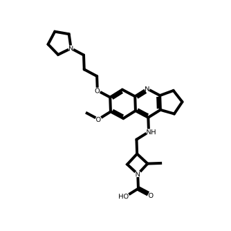 COc1cc2c(NCC3CN(C(=O)O)C3C)c3c(nc2cc1OCCCN1CCCC1)CCC3